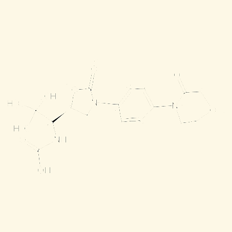 CC(C)(C)C(NC(=O)O)[C@@H]1CN(c2ccc(N3CCOCC3=O)cc2)C(=O)O1